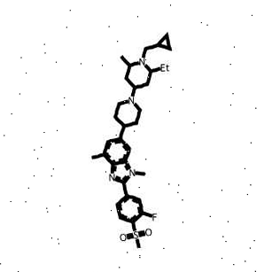 CCC1CC(N2CCC(c3cc(C)c4nc(-c5ccc(S(C)(=O)=O)c(F)c5)n(C)c4c3)CC2)CC(C)N1CC1CC1